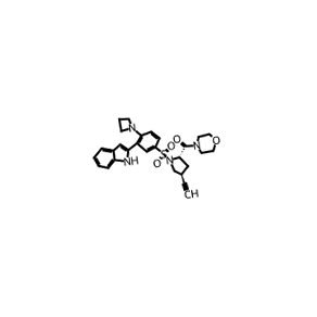 C#C[C@@H]1C[C@@H](C(=O)N2CCOCC2)N(S(=O)(=O)c2ccc(N3CCC3)c(-c3cc4ccccc4[nH]3)c2)C1